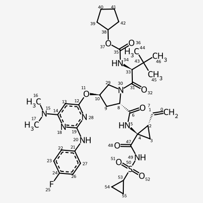 C=C[C@@H]1C[C@]1(NC(=O)[C@@H]1C[C@@H](Oc2cc(N(C)C)nc(Nc3ccc(F)cc3)n2)CN1C(=O)[C@@H](NC(=O)OC1CCCC1)C(C)(C)C)C(=O)NS(=O)(=O)C1CC1